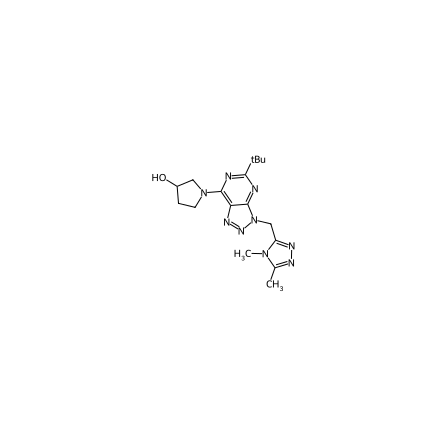 Cc1nnc(Cn2nnc3c(N4CCC(O)C4)nc(C(C)(C)C)nc32)n1C